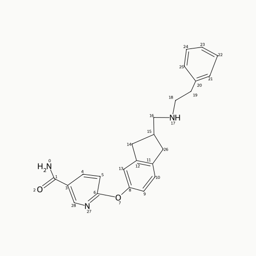 NC(=O)c1ccc(Oc2ccc3c(c2)CC(CNCCc2ccccc2)C3)nc1